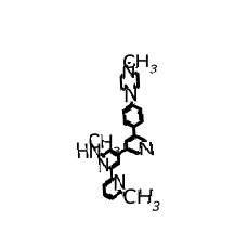 CNc1cc(-c2cncc(-c3ccc(N4CCN(C)CC4)cc3)c2)cc(-c2cccc(C)n2)n1